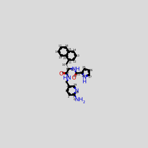 Nc1ccc(CNC(=O)[C@H](Cc2cccc3ccccc23)NC(=O)c2ccc[nH]2)cn1